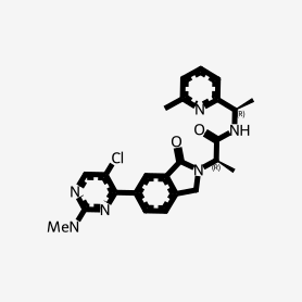 CNc1ncc(Cl)c(-c2ccc3c(c2)C(=O)N([C@H](C)C(=O)N[C@H](C)c2cccc(C)n2)C3)n1